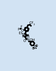 CCn1nc(C(=O)NCC2(O)CCC(S(C)(=O)=O)CC2)c(C)c1-c1ccc(C[C@@H](C)C(F)(F)F)cc1OC(F)F